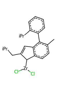 Cc1ccc2c(c1-c1ccccc1C(C)C)C=C(CC(C)C)[CH]2[Zr]([Cl])[Cl]